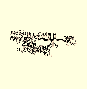 CO[Si](C)(CCCNC(NCCC[Si](C)(OC)OC)[SiH2]CC[Si](C)(C)O[Si](C)(C)O[Si](C)(C)O[Si](C)(C)O[Si](C)(C)C(C)[Si](OC)(OC)OC)OC